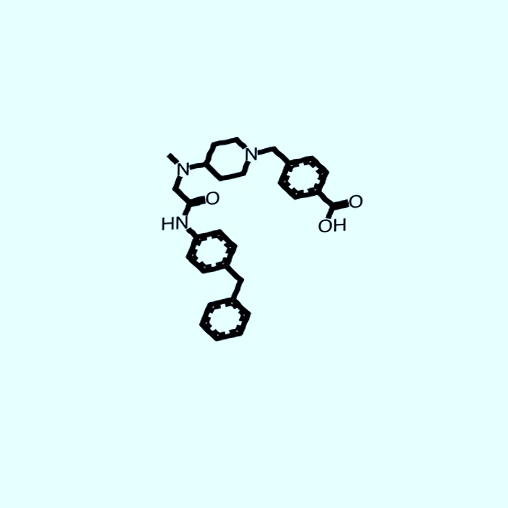 CN(CC(=O)Nc1ccc(Cc2ccccc2)cc1)C1CCN(Cc2ccc(C(=O)O)cc2)CC1